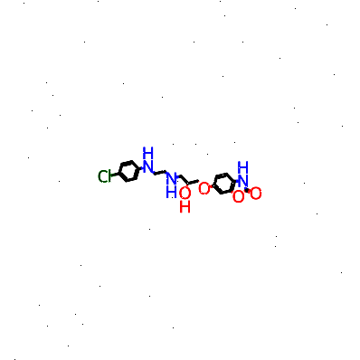 O=c1[nH]c2ccc(OC[C@@H](O)CNCCNc3ccc(Cl)cc3)cc2o1